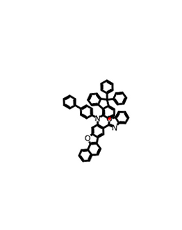 c1ccc(-c2ccc(N(c3cc4oc5c6ccccc6ccc5c4cc3-c3nc4ccccc4o3)c3cccc4c3-c3ccccc3C4(c3ccccc3)c3ccccc3)cc2)cc1